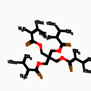 CCCCCCCCCCC(C)C(C)C(=S)OCC(COC(=S)C(C)C(C)CCCCCCCCCC)(COC(=S)C(C)C(C)CCCCCCCCCC)COC(=S)C(C)C(C)CCCCCCCCCC